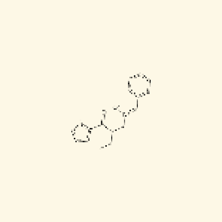 CCC(C[N+]([O-])=Cc1ccccc1)C(=O)c1cccs1